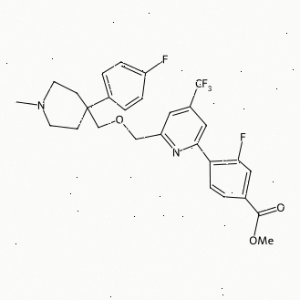 COC(=O)c1ccc(-c2cc(C(F)(F)F)cc(COCC3(c4ccc(F)cc4)CCN(C)CC3)n2)c(F)c1